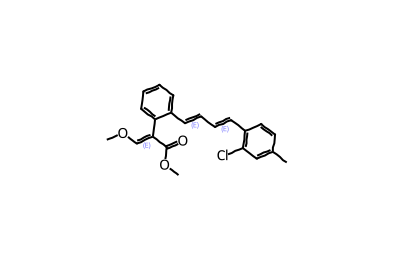 CO/C=C(/C(=O)OC)c1ccccc1/C=C/C=C/c1ccc(C)cc1Cl